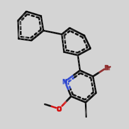 COc1nc(-c2cccc(-c3ccccc3)c2)c(Br)cc1C